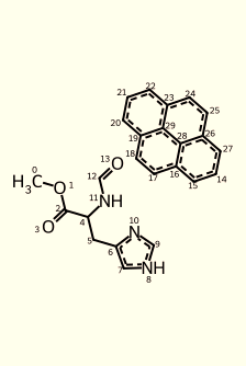 COC(=O)C(Cc1c[nH]cn1)NC=O.c1cc2ccc3cccc4ccc(c1)c2c34